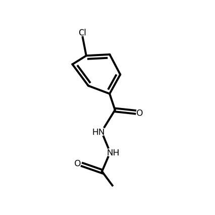 CC(=O)NNC(=O)c1ccc(Cl)cc1